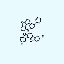 Fc1ccc2oc3c(cc(N(c4ccc(-c5ccccc5)cc4)c4cccc5sc6ccccc6c45)c4oc5ccc(F)cc5c43)c2c1